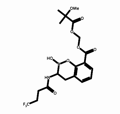 COC(C)(C)C(=O)OCOC(=O)c1cccc2c1OB(O)C(NC(=O)CCC(F)(F)F)C2